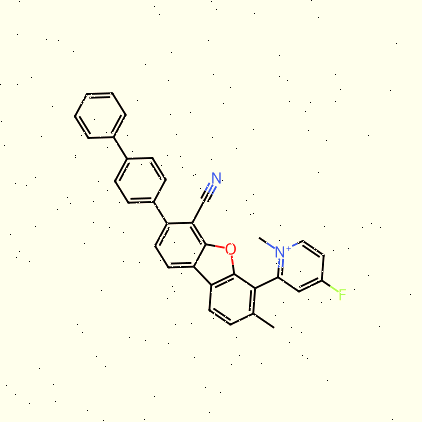 Cc1ccc2c(oc3c(C#N)c(-c4ccc(-c5ccccc5)cc4)ccc32)c1-c1cc(F)cc[n+]1C